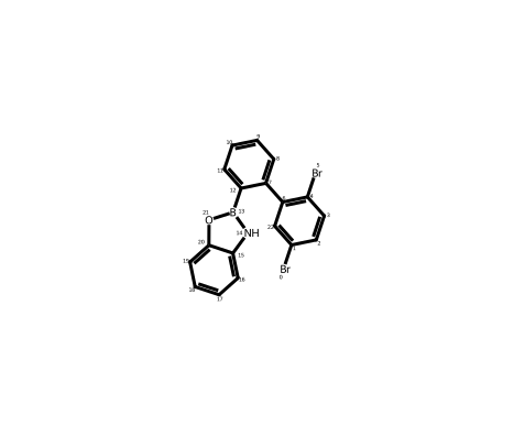 Brc1ccc(Br)c(-c2ccccc2B2Nc3ccccc3O2)c1